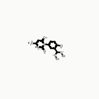 CCOC(OCC)c1cc(-n2c(=O)cc(C(F)(F)F)[nH]c2=O)ccc1Cl